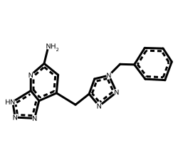 Nc1cc(Cc2cn(Cc3ccccc3)nn2)c2nn[nH]c2n1